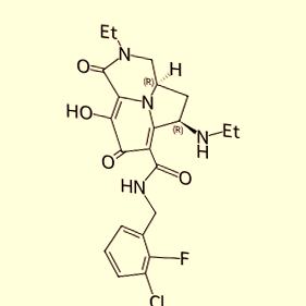 CCN[C@@H]1C[C@@H]2CN(CC)C(=O)c3c(O)c(=O)c(C(=O)NCc4cccc(Cl)c4F)c1n32